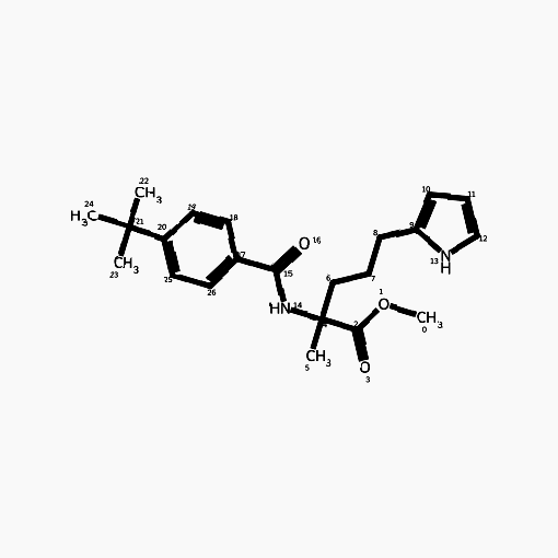 COC(=O)C(C)(CCCc1ccc[nH]1)NC(=O)c1ccc(C(C)(C)C)cc1